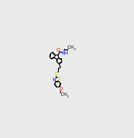 CCCNC(=O)C1c2ccccc2-c2cc(CCCSc3nc4ccc(OCC)cc4s3)ccc21